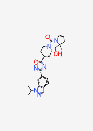 CC(C)n1ncc2ccc(-c3noc(C4CCN(C(=O)N5CCCC5(C)CO)CC4)n3)cc21